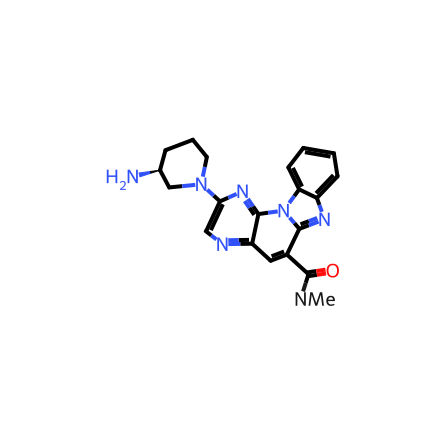 CNC(=O)c1cc2ncc(N3CCC[C@H](N)C3)nc2n2c1nc1ccccc12